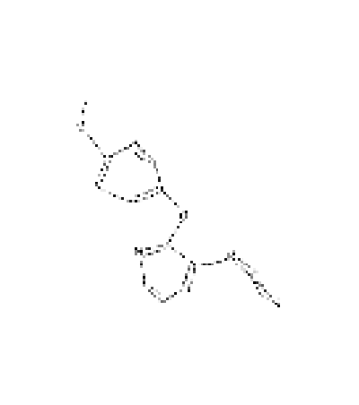 COc1ccc(Oc2ncccc2N=C=S)cc1